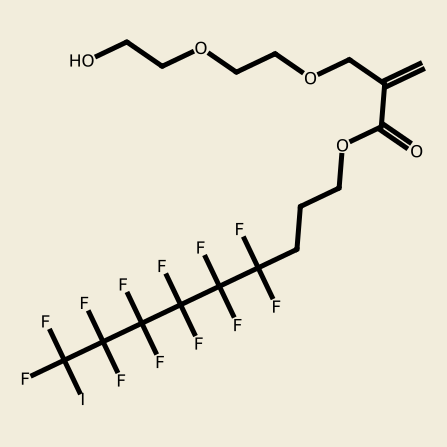 C=C(COCCOCCO)C(=O)OCCCC(F)(F)C(F)(F)C(F)(F)C(F)(F)C(F)(F)C(F)(F)I